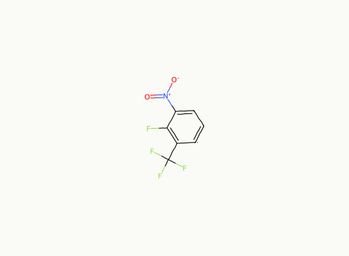 O=[N+]([O-])c1cc[c]c(C(F)(F)F)c1F